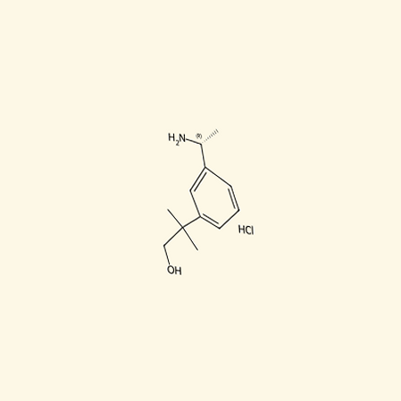 C[C@@H](N)c1cccc(C(C)(C)CO)c1.Cl